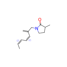 C=C(/C=C\C=C/C)CN1CCC(C)C1=O